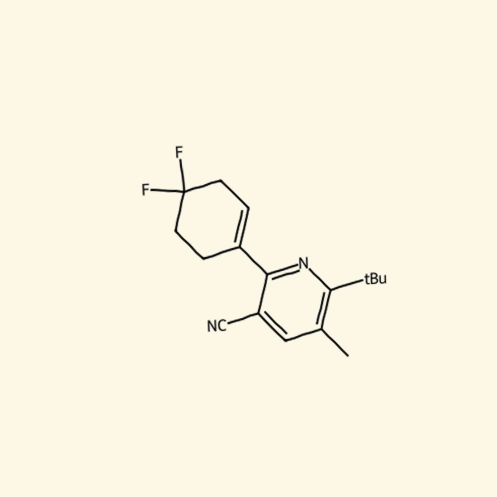 Cc1cc(C#N)c(C2=CCC(F)(F)CC2)nc1C(C)(C)C